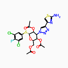 CC(=O)OCC1O[C@H](Sc2cc(Cl)c(F)c(Cl)c2)C(OC(C)=O)C(n2cc(-c3csc(N)n3)nn2)[C@H]1OC(C)=O